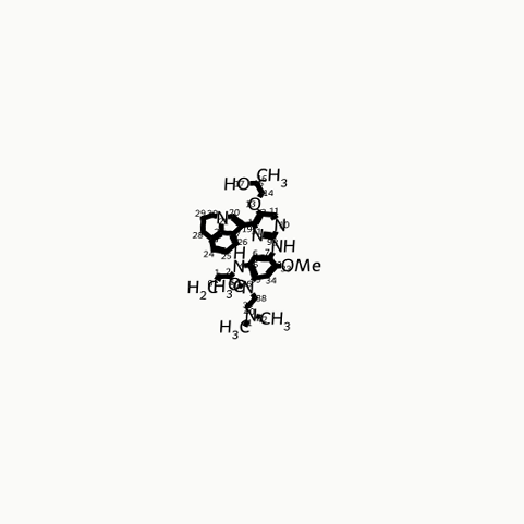 C=CC(=O)Nc1cc(Nc2ncc(OCC(C)O)c(-c3cn4c5c(cccc35)CCC4)n2)c(OC)cc1N(C)CCN(C)C